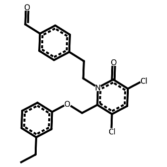 CCc1cccc(OCc2c(Cl)cc(Cl)c(=O)n2CCc2ccc(C=O)cc2)c1